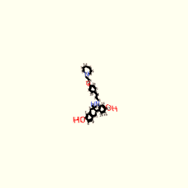 CC1(C)Cc2cc(O)ccc2CC1c1ccc(O)cc1NCCCc1ccc(OCCN2CCCCCC2)cc1